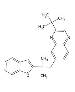 CC(C)(C)c1cnc2ccc(CC(C)(C)c3cc4ccccc4[nH]3)cc2n1